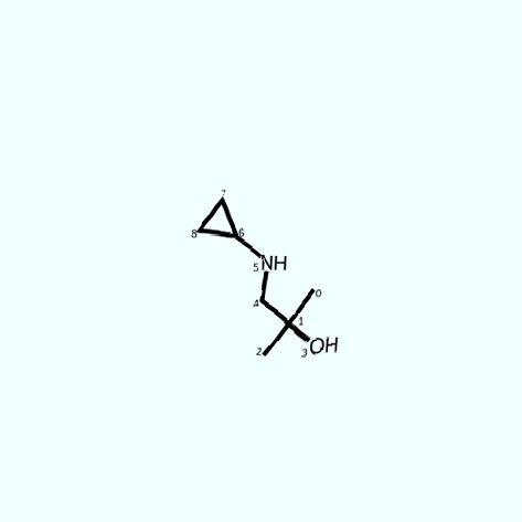 CC(C)(O)CNC1CC1